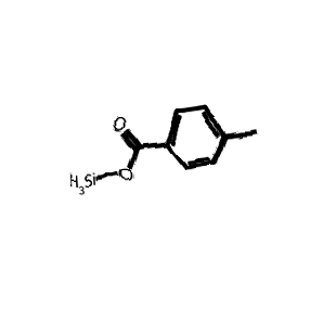 Cc1ccc(C(=O)O[SiH3])cc1